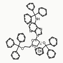 O[C@H]1[C@@H](OC(c2ccccc2)(c2ccccc2)c2ccccc2)[C@H](n2cnc3c(NC(c4ccccc4)(c4ccccc4)c4ccccc4)ncnc32)O[C@@H]1CCOC(c1ccccc1)(c1ccccc1)c1ccccc1